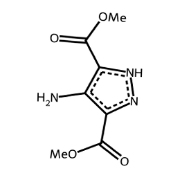 COC(=O)c1n[nH]c(C(=O)OC)c1N